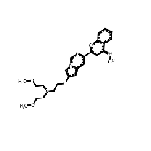 COCCN(CCOC)CCOc1cc2cc(-c3cc(=NO)c4ccccc4o3)ncn2c1